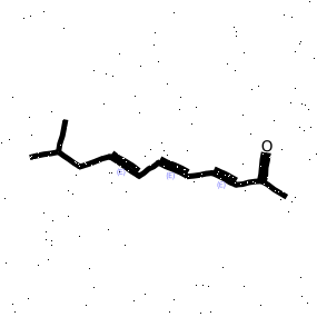 CC(=O)/C=C/C=C/C=C/CC(C)C